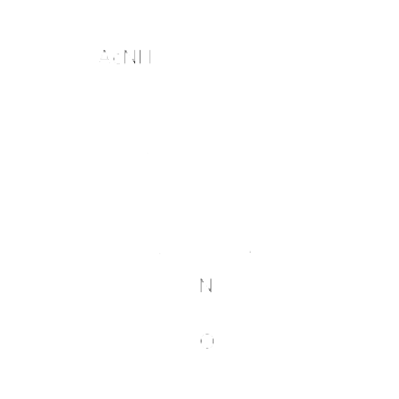 CC(=O)Nc1ccc2c(c1)C(C)(C)N([O])C2(C)C